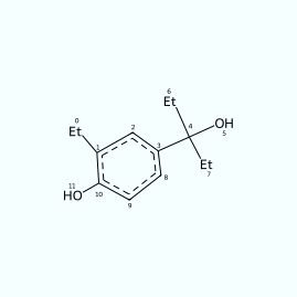 CCc1cc(C(O)(CC)CC)ccc1O